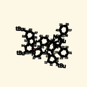 CC(C)(C)c1ccc2c(c1)c1cc(C(C)(C)C)ccc1n2-c1ccncc1-c1cc(-c2nc(-c3ccccc3)nc(-c3ccccc3)n2)ccc1-n1c2ccc(C(C)(C)C)cc2c2cc(C(C)(C)C)ccc21